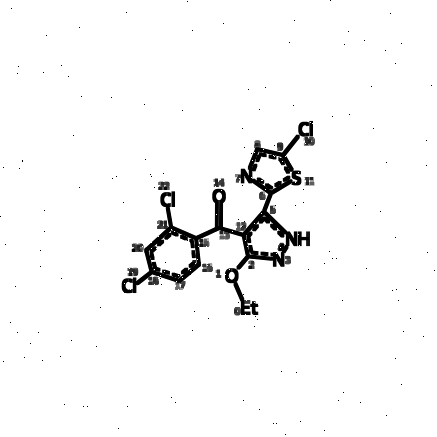 CCOc1n[nH]c(-c2ncc(Cl)s2)c1C(=O)c1ccc(Cl)cc1Cl